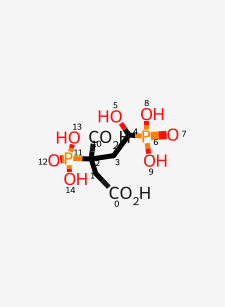 O=C(O)CC(CC(O)P(=O)(O)O)(C(=O)O)P(=O)(O)O